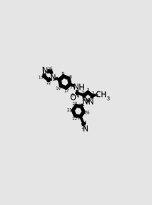 Cc1cc(C(=O)Nc2ccc(-n3ccnc3)cc2)n(-c2cccc(C#N)c2)n1